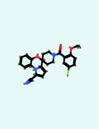 COc1ccc(F)cc1C(=O)N1CCC2(CC1)Oc1ccccc1-n1c(C#N)ccc12